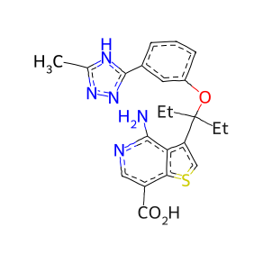 CCC(CC)(Oc1cccc(-c2nnc(C)[nH]2)c1)c1csc2c(C(=O)O)cnc(N)c12